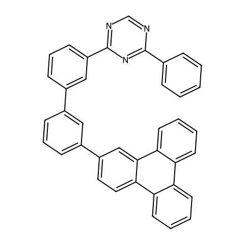 c1ccc(-c2ncnc(-c3cccc(-c4cccc(-c5ccc6c7ccccc7c7ccccc7c6c5)c4)c3)n2)cc1